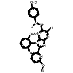 CCOc1cccc(-c2nc3nc(Cl)c(N[S+]([O-])c4ccc(C=O)cc4)nc3n2-c2c(OC)cccc2OC)n1